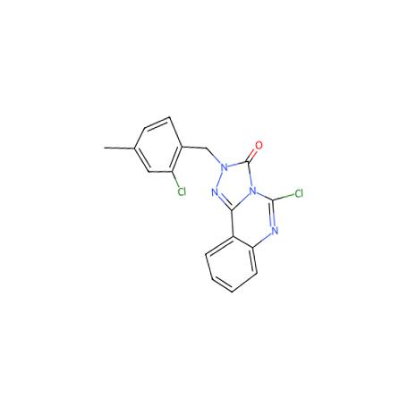 Cc1ccc(Cn2nc3c4ccccc4nc(Cl)n3c2=O)c(Cl)c1